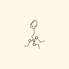 CCO[Si](CCC1CC2=CCC1C2)(OCC)OCC